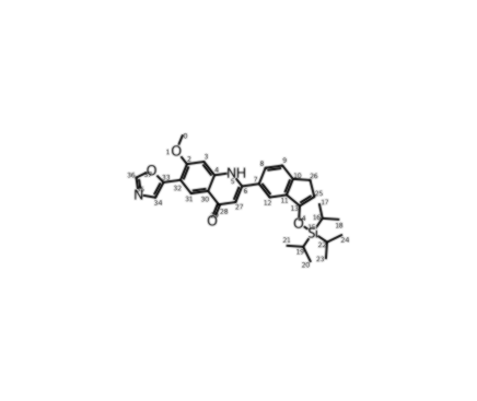 COc1cc2[nH]c(-c3ccc4c(c3)C(O[Si](C(C)C)(C(C)C)C(C)C)=CC4)cc(=O)c2cc1-c1cnco1